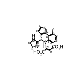 Cc1cccc(NCC2=NCCN2)c1-c1cccs1.O=C(O)C=CC(=O)O